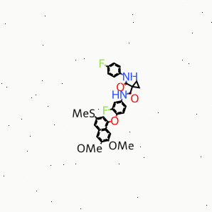 COc1cc2cc(SC)cc(Oc3ccc(NC(=O)C4(C(=O)Nc5ccc(F)cc5)CC4)cc3F)c2cc1OC